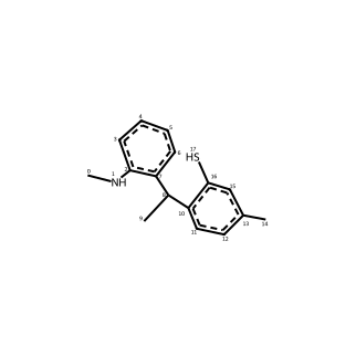 CNc1ccccc1C(C)c1ccc(C)cc1S